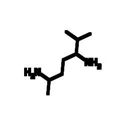 CC(N)CCC(N)C(C)C